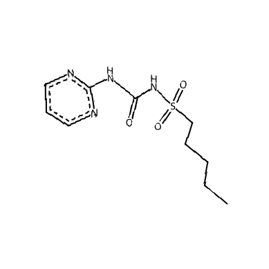 CCCCCS(=O)(=O)NC(=O)Nc1ncccn1